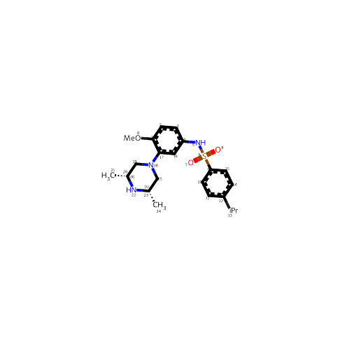 COc1ccc(NS(=O)(=O)c2ccc(C(C)C)cc2)cc1N1C[C@@H](C)N[C@@H](C)C1